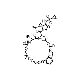 C=C[C@H]1C[C@@]1(NC(=O)C1C[C@@H]2CN1C(=O)[C@H](C(C)(C)C)NC(=O)OCC(C)(C)CCCCOc1cccc3c1CN(C3)C(=O)O2)C(=O)NS(=O)(=O)C1CC1